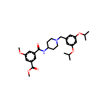 COC(=O)c1cc(OC)cc(C(=O)NC2CCN(Cc3cc(OC(C)C)cc(OC(C)C)c3)CC2)c1